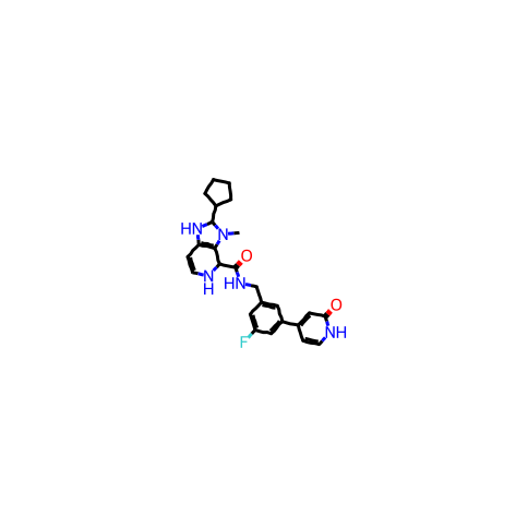 CN1C2=C(C=CNC2C(=O)NCc2cc(F)cc(-c3cc[nH]c(=O)c3)c2)NC1C1CCCC1